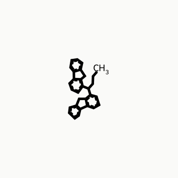 CCCCC(c1cccc2c1Cc1ccccc1-2)c1cccc2c1Cc1ccccc1-2